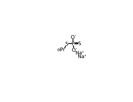 CCCSP([O-])([O-])=S.[Na+].[Na+]